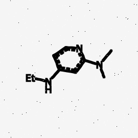 CCNc1ccnc(N(C)C)c1